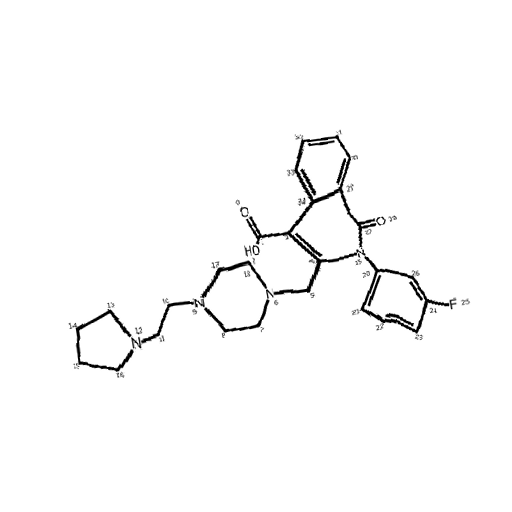 O=C(O)c1c(CN2CCN(CCN3CCCC3)CC2)n(-c2cccc(F)c2)c(=O)c2ccccc12